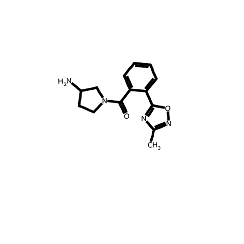 Cc1noc(-c2ccccc2C(=O)N2CCC(N)C2)n1